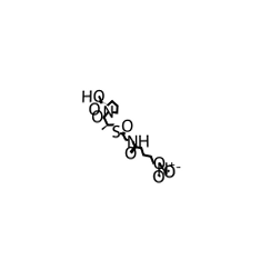 C[C@H](CSC(=O)CNC(=O)CCCCO[N+](=O)[O-])C(=O)N1CCC[C@H]1C(=O)O